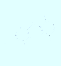 COc1ccc(Cc2cc(S)ccc2C)cc1O